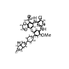 COc1cc(N2CCC(N3CC4CN(C)C[C@@H]4C3)CC2)c(C)cc1Nc1ncc(Cl)c(Nc2ccc3c(c2P(C)(C)=O)OCCO3)n1